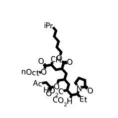 CCCCCCCCOC(=O)C(C)CC(CC(COC(=O)CC(C)=O)CC(C(=O)O)C(C(=O)O)C(CC)N1CCCC1=O)C(=O)OCCCCCC(C)C